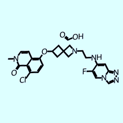 Cn1ccc2c(OC3CC4(C3)CN(CCNc3cc5nncn5cc3F)C4)ccc(Cl)c2c1=O.O=CO